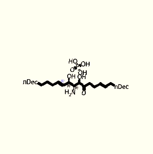 CCCCCCCCCCCCC/C=C/[C@@H](O)[C@@H](N)C(O)C(=O)CCCCCCCCCCCCCCC.O=P(O)(O)O